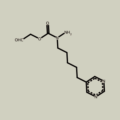 NN(CCCCCc1cncnc1)C(=O)OCC=O